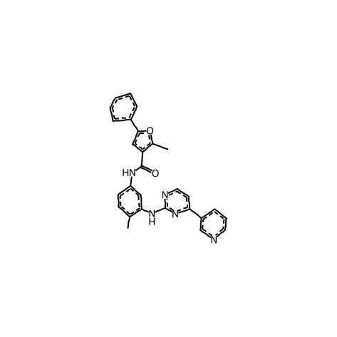 Cc1ccc(NC(=O)c2cc(-c3ccccc3)oc2C)cc1Nc1nccc(-c2cccnc2)n1